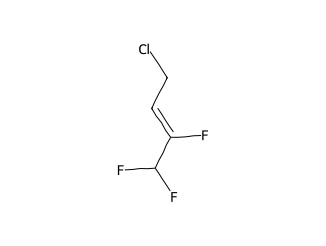 FC(=CCCl)C(F)F